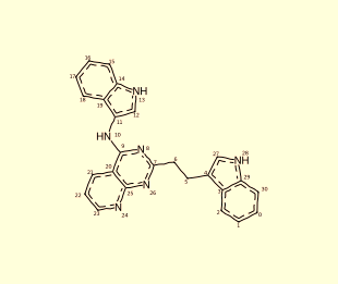 c1ccc2c(CCc3nc(Nc4c[nH]c5ccccc45)c4cccnc4n3)c[nH]c2c1